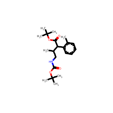 [CH2]c1ccccc1C([C](C)CNC(=O)OC(C)(C)C)C(=O)OC(C)(C)C